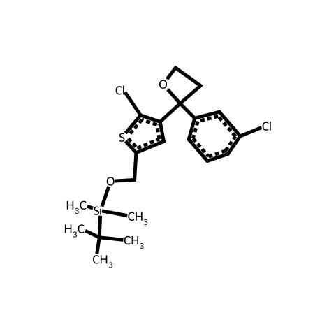 CC(C)(C)[Si](C)(C)OCc1cc(C2(c3cccc(Cl)c3)CCO2)c(Cl)s1